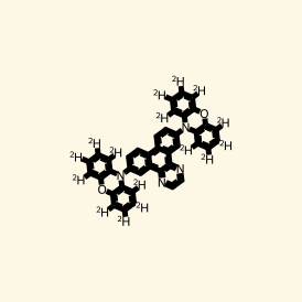 [2H]c1c([2H])c([2H])c2c(c1[2H])Oc1c([2H])c([2H])c([2H])c([2H])c1N2c1ccc2c3ccc(N4c5c([2H])c([2H])c([2H])c([2H])c5Oc5c([2H])c([2H])c([2H])c([2H])c54)cc3c3nccnc3c2c1